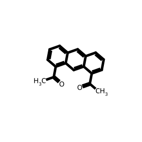 CC(=O)c1cccc2cc3cccc(C(C)=O)c3cc12